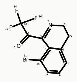 O=C(C1=NCCc2cccc(Br)c21)C(F)(F)F